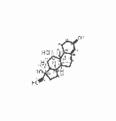 C#C[C@]1(O)CC[C@H]2[C@@H]3CCC4=CC(=O)CC[C@]4(C)[C@H]3CC[C@@]21C.Cl